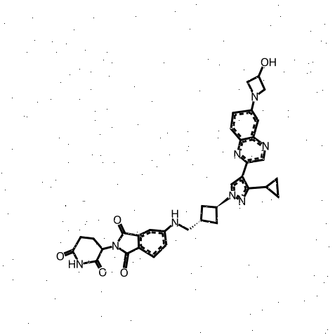 O=C1CCC(N2C(=O)c3ccc(NC[C@H]4C[C@H](n5cc(-c6cnc7cc(N8CC(O)C8)ccc7n6)c(C6CC6)n5)C4)cc3C2=O)C(=O)N1